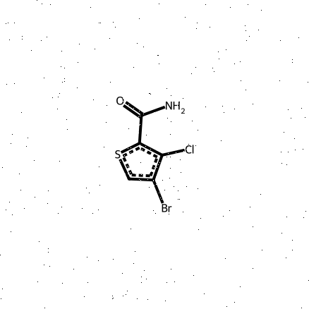 NC(=O)c1scc(Br)c1Cl